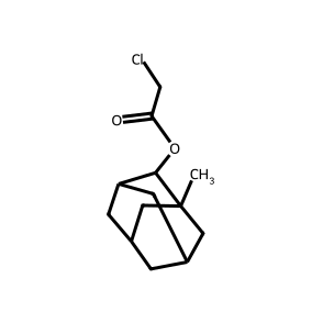 CC12CC3CC(CC(C3)C1OC(=O)CCl)C2